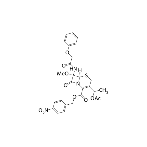 CO[C@@]1(NC(=O)COc2ccccc2)C(=O)N2C(C(=O)OCc3ccc([N+](=O)[O-])cc3)=C(C(C)OC(C)=O)CS[C@@H]21